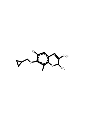 Cc1c(OCC2CC2)c(Cl)cc2c1OC(C(F)(F)F)C(C(=O)O)=C2